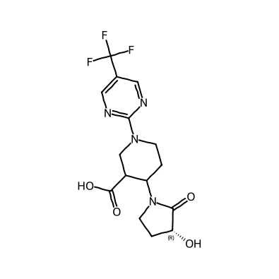 O=C(O)C1CN(c2ncc(C(F)(F)F)cn2)CCC1N1CC[C@@H](O)C1=O